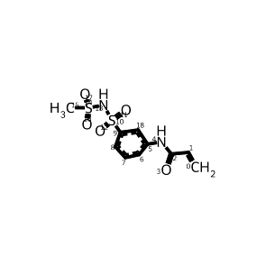 C=CC(=O)Nc1cccc(S(=O)(=O)NS(C)(=O)=O)c1